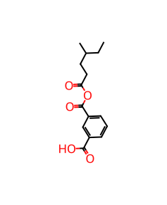 CCC(C)CCC(=O)OC(=O)c1cccc(C(=O)O)c1